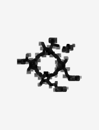 CC1=C(CCC(=O)[O-])c2cc3[nH]c(cc4nc(cc5[nH]c(cc1n2)c(C)c5C(C)O)C(C)=C4C(C)O)c(C)c3CCC(=O)[O-].[Ag+].[Ag+]